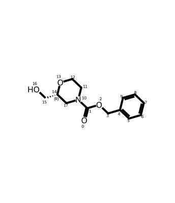 O=C(OCc1ccccc1)N1CCO[C@@H](CO)C1